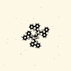 CC1(C(=O)c2nc(C(=O)c3ccccc3-c3ccccc3)nc(C(=O)c3ccccc3-c3ccccc3)n2)N=C(C(=O)c2ccccc2-c2ccccc2)N=C(C(=O)c2ccccc2-c2ccccc2)N1